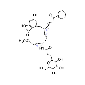 C[C@@H]1C/C=C/[C@@H](NC(=O)CSC2OC(CO)C(O)C(O)C2O)C/C=C/C(=N/OCC(=O)N2CCCCC2)Cc2cc(O)cc(O)c2C(=O)O1